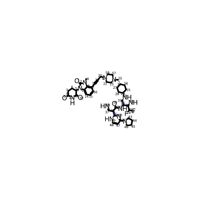 Cn1c(=O)n(C2CCC(=O)NC2=O)c2cccc(C#CCN3CCN(C[C@H]4CC[C@H](N/C=C(/NC(=O)/C(C=N)=C5\N=C(N6CCCC6)C=CN5)C(=N)C(F)F)CC4)CC3)c21